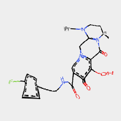 CC(C)N1CC[C@@H](C)N2C(=O)c3c(O)c(=O)c(C(=O)NCc4ccc(F)cc4)cn3CC12